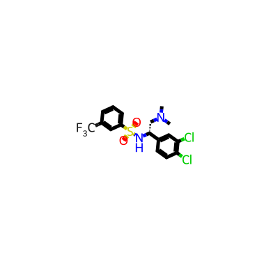 CN(C)C[C@@H](NS(=O)(=O)c1cccc(C(F)(F)F)c1)c1ccc(Cl)c(Cl)c1